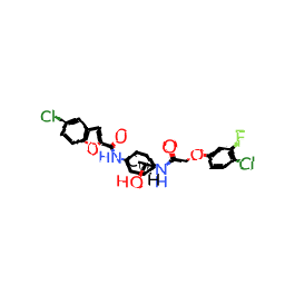 O=C(COc1ccc(Cl)c(F)c1)NC12CCC(NC(=O)c3cc4cc(Cl)ccc4o3)(CC1)C[C@@H]2O